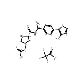 Cc1ncsc1-c1ccc(C(C)NC(=O)[C@@H]2C[C@@H](OC(=O)O)CN2)cc1.O=C(O)C(F)(F)F